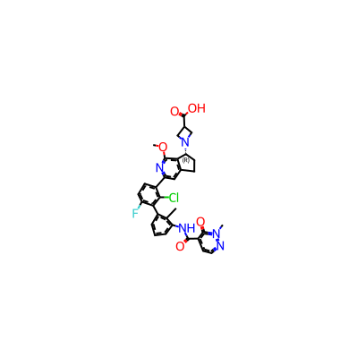 COc1nc(-c2ccc(F)c(-c3cccc(NC(=O)c4ccnn(C)c4=O)c3C)c2Cl)cc2c1[C@H](N1CC(C(=O)O)C1)CC2